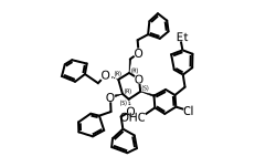 CCc1ccc(Cc2cc([C@@H]3O[C@H](COCc4ccccc4)[C@@H](OCc4ccccc4)[C@H](OCc4ccccc4)[C@H]3OCc3ccccc3)c(C=O)cc2Cl)cc1